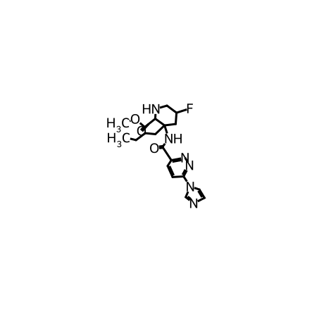 CCCCC1(NC(=O)c2ccc(-n3ccnc3)nn2)CC(F)CNC1C(=O)OC